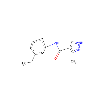 CCc1cccc(NC(=O)c2c[nH]nc2C)c1